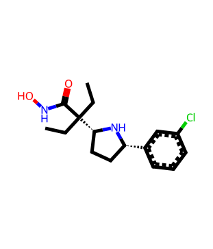 CCC(CC)(C(=O)NO)[C@H]1CC[C@@H](c2cccc(Cl)c2)N1